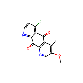 COc1cnc2c(c1C)C(=O)c1c(Cl)ccnc1C2=O